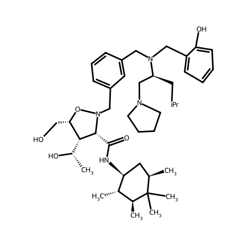 CC(C)C[C@@H](CN1CCCC1)N(Cc1cccc(CN2O[C@@H](CO)[C@@H]([C@H](C)O)[C@H]2C(=O)N[C@H]2C[C@@H](C)C(C)(C)[C@@H](C)[C@@H]2C)c1)Cc1ccccc1O